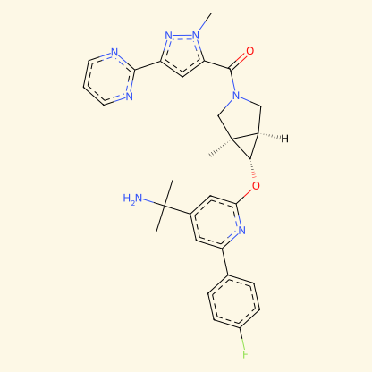 Cn1nc(-c2ncccn2)cc1C(=O)N1C[C@H]2[C@H](Oc3cc(C(C)(C)N)cc(-c4ccc(F)cc4)n3)[C@@]2(C)C1